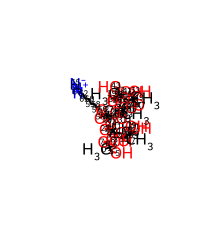 CC(CO)(CO)C(=O)OCC(C)(COC(=O)C(C)(CO)CO)C(=O)OCC(C)(COC(=O)C(C)(COC(=O)C(C)(CO)CO)COC(=O)C(C)(CO)CO)C(=O)OCCCCCCN=[N+]=[N-]